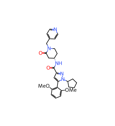 COc1cccc(OC)c1-c1cc(C(=O)N[C@H]2CCN(Cc3ccncc3)C(=O)C2)nn1C1CCCC1